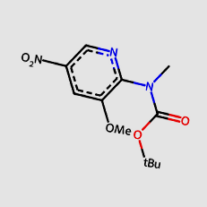 COc1cc([N+](=O)[O-])cnc1N(C)C(=O)OC(C)(C)C